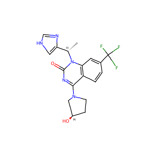 C[C@@H](c1c[nH]cn1)n1c(=O)nc(N2CC[C@@H](O)C2)c2ccc(C(F)(F)F)cc21